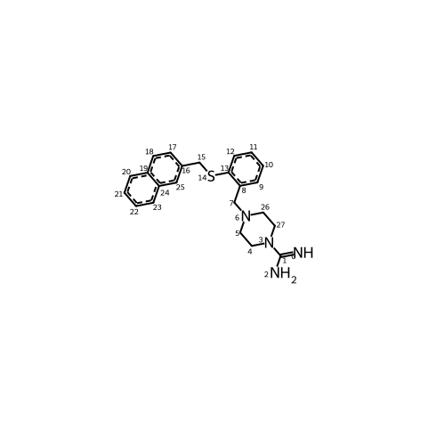 N=C(N)N1CCN(Cc2ccccc2SCc2ccc3ccccc3c2)CC1